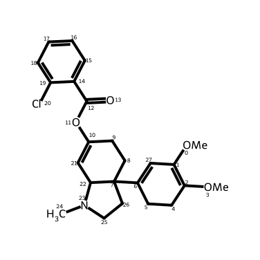 COC1=C(OC)CCC(C23CCC(OC(=O)c4ccccc4Cl)=CC2N(C)CC3)=C1